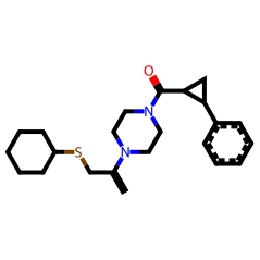 C=C(CSC1CCCCC1)N1CCN(C(=O)C2CC2c2ccccc2)CC1